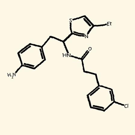 CCc1csc(C(Cc2ccc(N)cc2)NC(=O)CCc2cccc(Cl)c2)n1